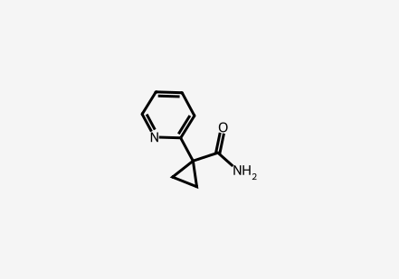 NC(=O)C1(c2ccccn2)CC1